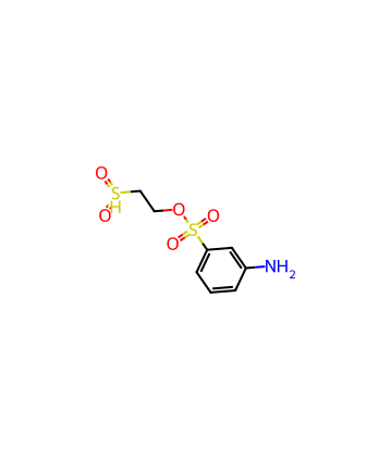 Nc1cccc(S(=O)(=O)OCC[SH](=O)=O)c1